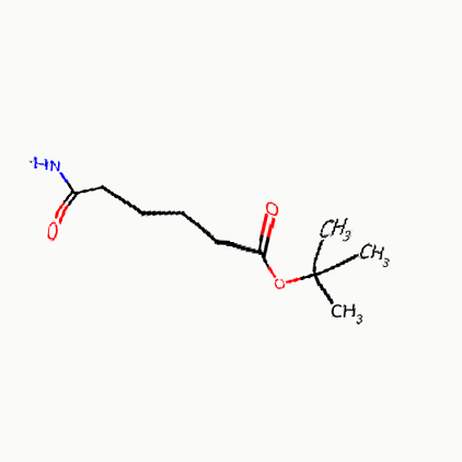 CC(C)(C)OC(=O)CCCCC([NH])=O